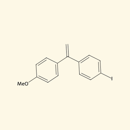 C=C(c1ccc(I)cc1)c1ccc(OC)cc1